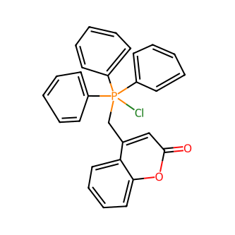 O=c1cc(CP(Cl)(c2ccccc2)(c2ccccc2)c2ccccc2)c2ccccc2o1